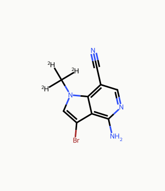 [2H]C([2H])([2H])n1cc(Br)c2c(N)ncc(C#N)c21